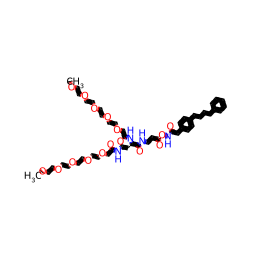 COCCOCCOCCOCCOCC(=O)NCC[C@H](NC(=O)COCCOCCOCCOCCOC)C(=O)NCCC(=O)ONC(=O)Cc1ccc(CCCCc2ccccc2)cc1